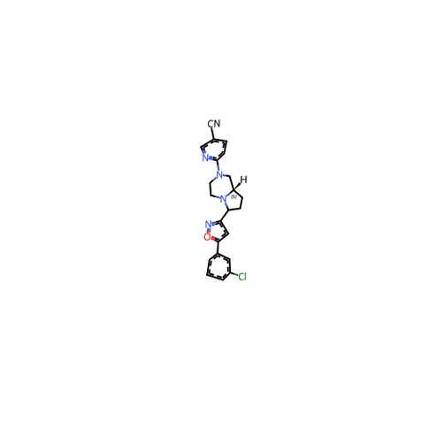 N#Cc1ccc(N2CCN3C(c4cc(-c5cccc(Cl)c5)on4)CC[C@H]3C2)nc1